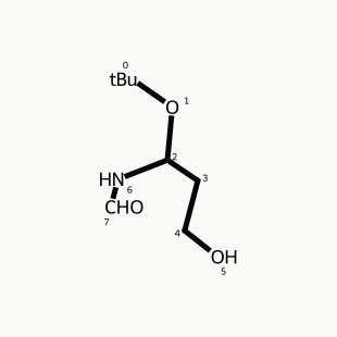 CC(C)(C)OC(CCO)NC=O